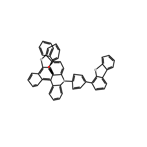 c1ccc(-c2ccc(N(c3ccc(-c4cccc5c4oc4ccccc45)cc3)c3ccccc3-c3cc4c5ccccc5oc4c4ccccc34)cc2)cc1